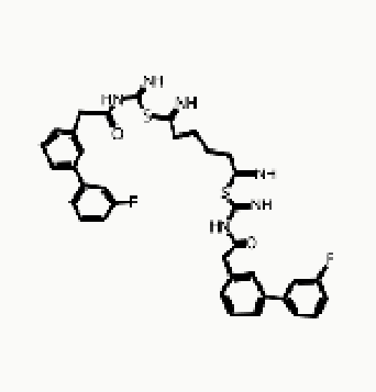 N=C(CCCCC(=N)SC(=N)NC(=O)Cc1cccc(-c2cccc(F)c2)c1)SC(=N)NC(=O)Cc1cccc(-c2cccc(F)c2)c1